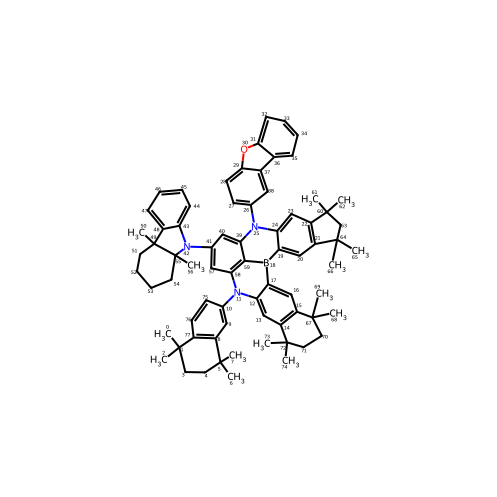 CC1(C)CCC(C)(C)c2cc(N3c4cc5c(cc4B4c6cc7c(cc6N(c6ccc8oc9ccccc9c8c6)c6cc(N8c9ccccc9C9(C)CCCCC89C)cc3c64)C(C)(C)CC7(C)C)C(C)(C)CCC5(C)C)ccc21